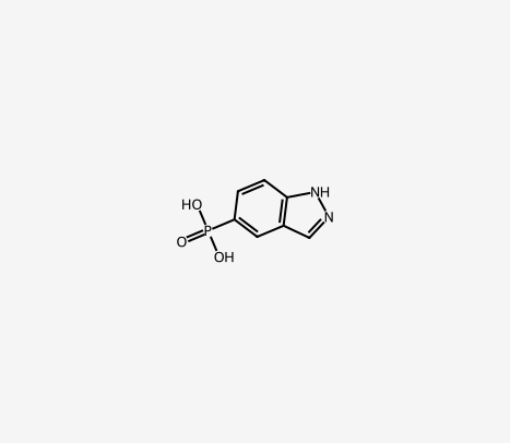 O=P(O)(O)c1ccc2[nH]ncc2c1